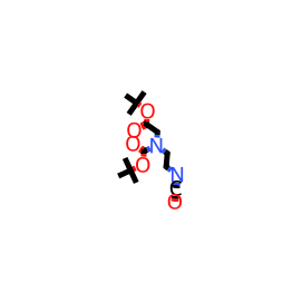 CC(C)(C)OC(=O)CN(CCN=C=O)C(=O)OC(C)(C)C